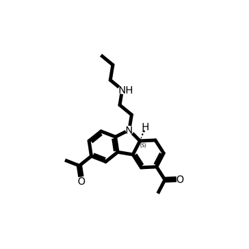 CCCNCCN1c2ccc(C(C)=O)cc2C2=CC(C(C)=O)=CC[C@@H]21